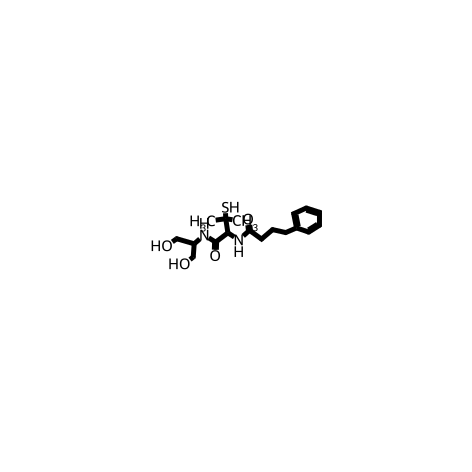 CC(C)(S)C(NC(=O)CCCc1ccccc1)C(=O)NC(CO)CO